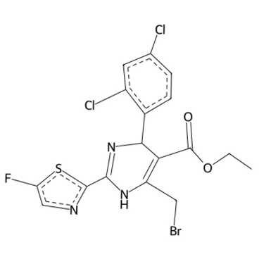 CCOC(=O)C1=C(CBr)NC(c2ncc(F)s2)=NC1c1ccc(Cl)cc1Cl